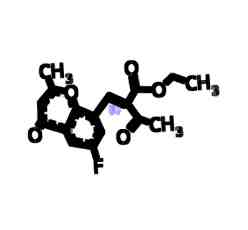 CCOC(=O)/C(=C/c1cc(F)cc2c(=O)cc(C)oc12)C(C)=O